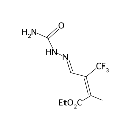 CCOC(=O)C(C)=C(C=NNC(N)=O)C(F)(F)F